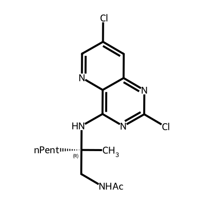 CCCCC[C@](C)(CNC(C)=O)Nc1nc(Cl)nc2cc(Cl)cnc12